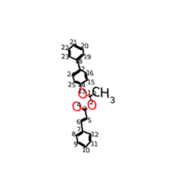 CC(OC(=O)/C=C/c1ccccc1)Oc1ccc(-c2ccccc2)cc1